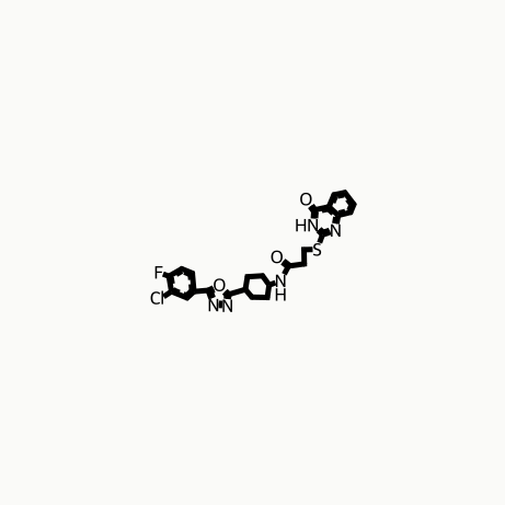 O=C(CCSc1nc2ccccc2c(=O)[nH]1)NC1CCC(c2nnc(-c3ccc(F)c(Cl)c3)o2)CC1